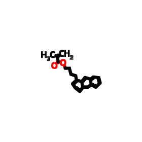 C=C(C)C(=O)OCCCCc1cccc2cc3ccccc3cc12